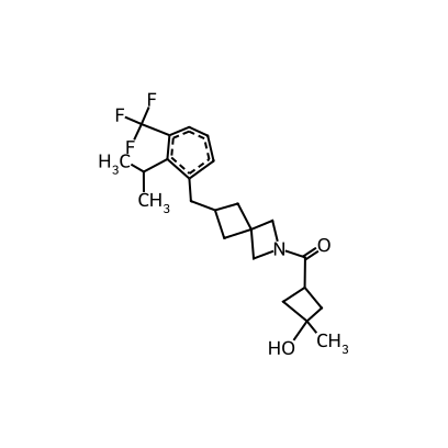 CC(C)c1c(CC2CC3(C2)CN(C(=O)C2CC(C)(O)C2)C3)cccc1C(F)(F)F